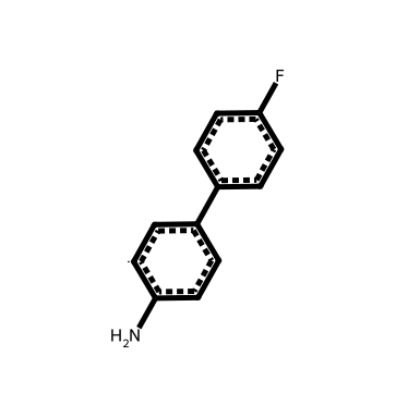 Nc1[c]cc(-c2ccc(F)cc2)cc1